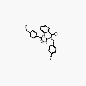 O=c1c2ccccc2n2c(-c3ccc(CF)cc3)nnc2n1Cc1ccc(F)cc1